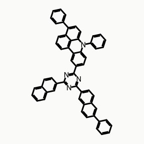 c1ccc(-c2ccc3cc(-c4nc(-c5ccc6c(c5)-c5cccc7c(-c8ccccc8)ccc(c57)N6c5ccccc5)nc(-c5ccc6ccccc6c5)n4)ccc3c2)cc1